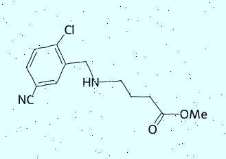 COC(=O)CCCNCc1cc(C#N)ccc1Cl